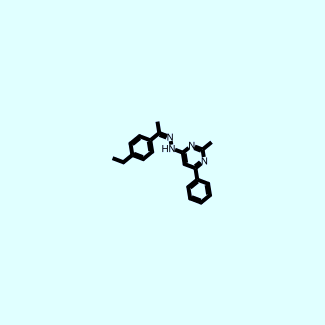 CCc1ccc(/C(C)=N\Nc2cc(-c3ccccc3)nc(C)n2)cc1